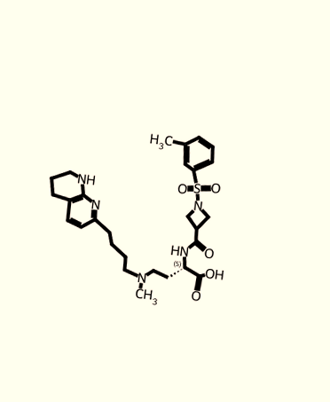 Cc1cccc(S(=O)(=O)N2CC(C(=O)N[C@@H](CCN(C)CCCCc3ccc4c(n3)NCCC4)C(=O)O)C2)c1